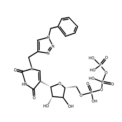 O=c1[nH]c(=O)n(Cc2cn(Cc3ccccc3)nn2)cc1[C@@H]1O[C@H](COP(=O)(O)OP(=O)(O)OP(=O)(O)O)C(O)[C@@H]1O